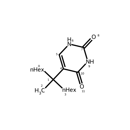 CCCCCCC(C)(CCCCCC)c1c[nH]c(=O)[nH]c1=O